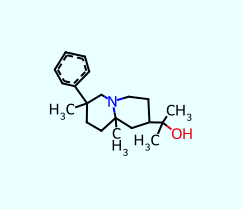 CC1(c2ccccc2)CCC2(C)CC(C(C)(C)O)CCN2C1